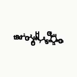 CC(C)(C)COCC(=O)NCCSC1CC(=O)CC1=O